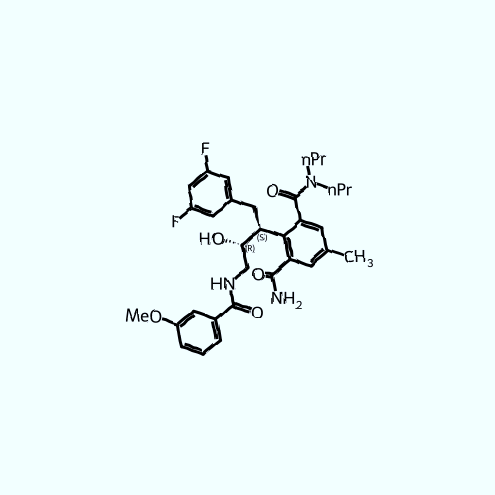 CCCN(CCC)C(=O)c1cc(C)cc(C(N)=O)c1[C@H](Cc1cc(F)cc(F)c1)[C@@H](O)CNC(=O)c1cccc(OC)c1